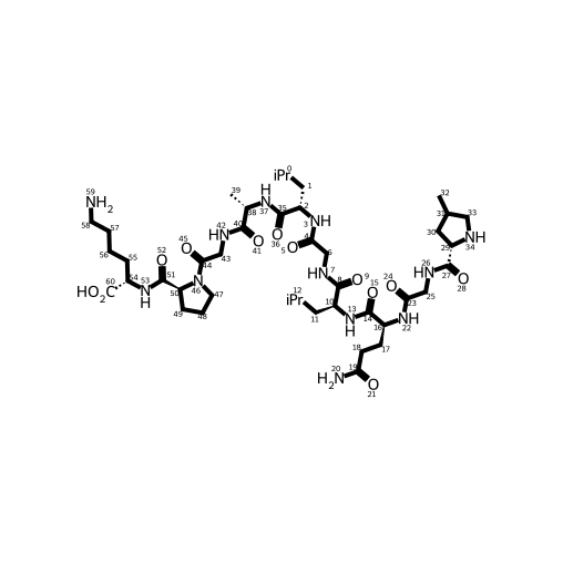 CC(C)C[C@H](NC(=O)CNC(=O)[C@H](CC(C)C)NC(=O)[C@H](CCC(N)=O)NC(=O)CNC(=O)[C@@H]1CC(C)CN1)C(=O)N[C@@H](C)C(=O)NCC(=O)N1CCC[C@H]1C(=O)N[C@@H](CCCCN)C(=O)O